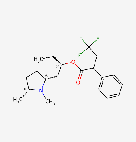 CC[C@H](C[C@H]1CC[C@@H](C)N1C)OC(=O)C(CC(F)(F)F)c1ccccc1